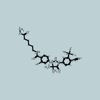 COC(=O)CCCCCNC(=O)c1ccc([SH]2NN(c3ccc(C#N)c(C(F)(F)F)c3)C(=O)C2(C)C)cc1F